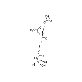 CC(=O)OCC(CNC(=O)CCSCCC(=O)NC(CO)(CO)CO)OC(C)=O